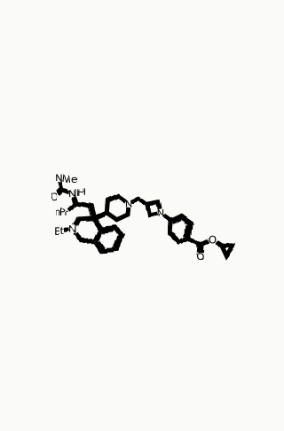 CCCC(CC1(C2CCN(CC3CN(c4ccc(C(=O)OC5CC5)cc4)C3)CC2)CN(CC)Cc2ccccc21)NC(=O)NC